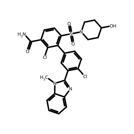 Cn1c(-c2cc(-c3c(S(=O)(=O)N4CCC(O)CC4)ccc(C(N)=O)c3Cl)ccc2Cl)nc2ccccc21